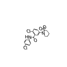 O=C(Nc1ccc(Cl)cc1)c1cc(N2CCCCS2(=O)=O)ccc1Cl